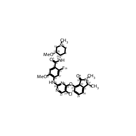 COc1cc(C(=O)N[C@H]2CCN(C)C[C@H]2OC)c(F)cc1Nc1ncc(Cl)c(Oc2cccc3c2C(=O)N(C)[C@H]3C)n1